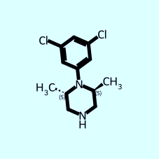 C[C@H]1CNC[C@H](C)N1c1cc(Cl)cc(Cl)c1